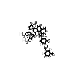 CCN(C(C)C1(c2cc3c(Nc4ccc(OCc5cccc(F)c5)c(Cl)c4)ncnc3cc2F)CC=CO1)S(=O)(=O)CC